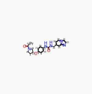 CC(C)C(=O)N1CC[C@@H](Oc2ccc(NC(=O)NCc3ccn4ccnc4c3)cc2)C1